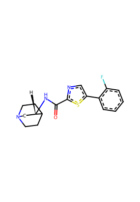 O=C(N[C@H]1CN2CCC1CC2)c1ncc(-c2ccccc2F)s1